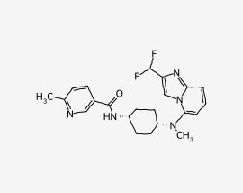 Cc1ccc(C(=O)N[C@H]2CC[C@@H](N(C)c3cccc4nc(C(F)F)cn34)CC2)cn1